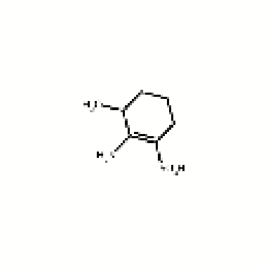 CC1CCCC(S(=O)(=O)O)=C1N